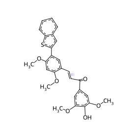 COc1cc(OC)c(-c2cc3ccccc3s2)cc1/C=C/C(=O)c1cc(OC)c(O)c(OC)c1